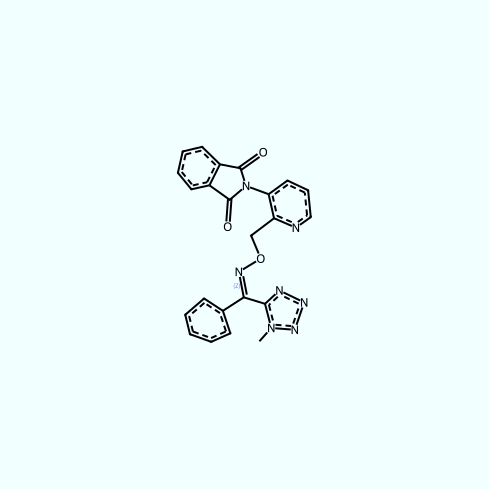 Cn1nnnc1/C(=N\OCc1ncccc1N1C(=O)c2ccccc2C1=O)c1ccccc1